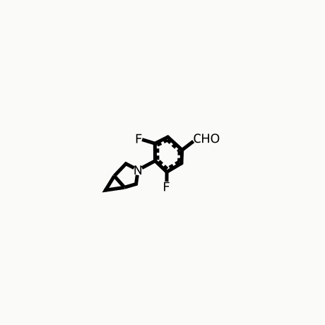 O=Cc1cc(F)c(N2CC3CC3C2)c(F)c1